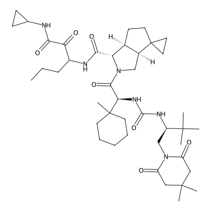 CCCC(NC(=O)[C@@H]1[C@H]2CCC3(CC3)[C@H]2CN1C(=O)[C@@H](NC(=O)N[C@H](CN1C(=O)CC(C)(C)CC1=O)C(C)(C)C)C1(C)CCCCC1)C(=O)C(=O)NC1CC1